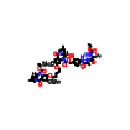 C=COC(=O)N[C@H](C(=O)N[C@@H](C)C(=O)Nc1ccc(COC(=O)N2c3cc(OCCCCCOc4cc5c(cc4OC)C(=O)N4C=C(C)C[C@H]4CN5C(=O)OC=C)c(OC)cc3C(=O)N3C=C(C)C[C@H]3[C@@H]2O)cc1)C(C)C